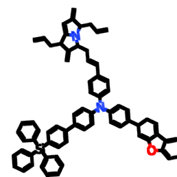 C=CCC1C(=C)C(C/C=C/c2ccc(N(c3ccc(-c4ccc([Si](c5ccccc5)(c5ccccc5)c5ccccc5)cc4)cc3)c3ccc(C4C=c5oc6ccccc6c5=CC4)cc3)cc2)N2C1=CC(=C)C2CC=C